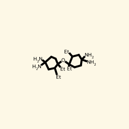 CCC1CC(N)(N)CCC1(CC)OC1(CC)CCC(N)(N)CC1CC